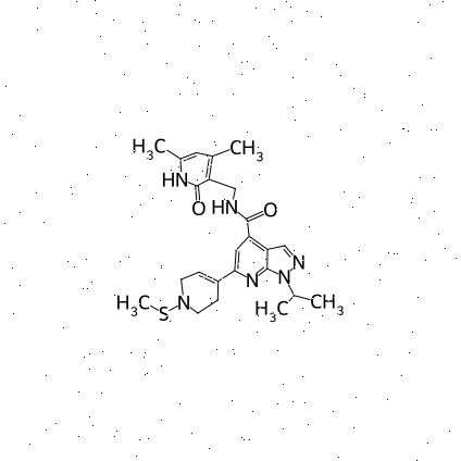 CSN1CC=C(c2cc(C(=O)NCc3c(C)cc(C)[nH]c3=O)c3cnn(C(C)C)c3n2)CC1